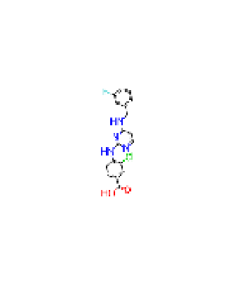 O=C(O)c1ccc(Nc2nccc(NCc3cccc(F)c3)n2)c(Cl)c1